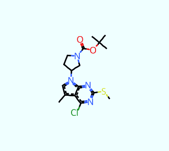 CSc1nc(Cl)c2c(C)cn(C3CCN(C(=O)OC(C)(C)C)C3)c2n1